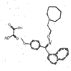 COc1ccc(C(=NOCCN2CCCCCC2)c2cccc3ccccc23)cc1.O=C(O)C(=O)O